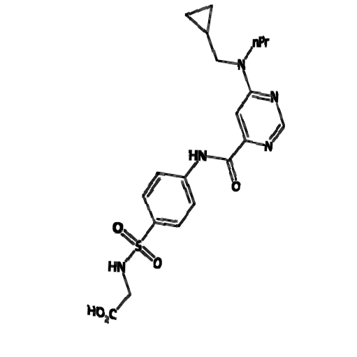 CCCN(CC1CC1)c1cc(C(=O)Nc2ccc(S(=O)(=O)NCC(=O)O)cc2)ncn1